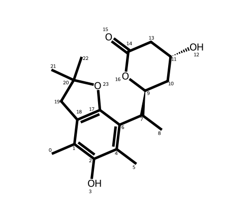 Cc1c(O)c(C)c(C(C)[C@@H]2C[C@@H](O)CC(=O)O2)c2c1CC(C)(C)O2